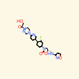 O=C(CO)N1CCN(c2ccc(-c3ccc(N4C[C@H](CNc5ccon5)OC4=O)cc3F)cn2)C=N1